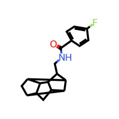 O=C(NCC1C2C3CC4C5CC(C42)C1C53)c1ccc(F)cc1